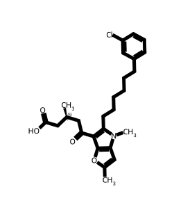 Cc1cc2c(o1)c(C(=O)C[C@H](C)CC(=O)O)c(CCCCCCc1cccc(Cl)c1)n2C